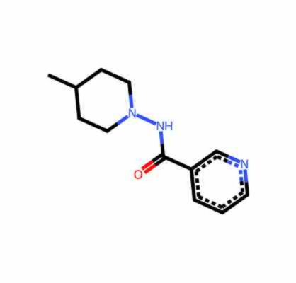 CC1CCN(NC(=O)c2cccnc2)CC1